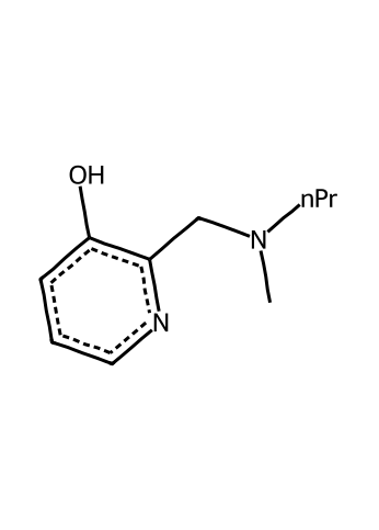 CCCN(C)Cc1ncccc1O